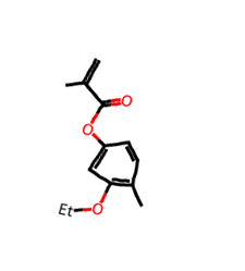 C=C(C)C(=O)Oc1ccc(C)c(OCC)c1